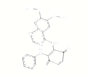 COc1cc2ncnc(NC3=C(Nc4ccccc4)C(=O)C=CC3=O)c2cc1OC